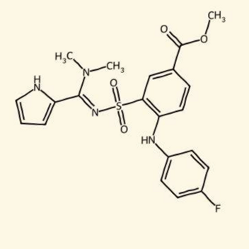 COC(=O)c1ccc(Nc2ccc(F)cc2)c(S(=O)(=O)N=C(c2ccc[nH]2)N(C)C)c1